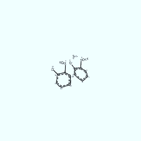 CCCCCCCCc1ccccc1[O-].CCCCCCCCc1ccccc1[O-].[Sr+2]